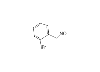 CC(C)c1ccccc1CN=O